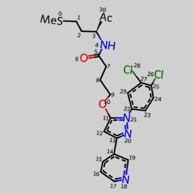 CSCC[C@H](NC(=O)CCCOc1cc(-c2cccnc2)nn1-c1ccc(Cl)c(Cl)c1)C(C)=O